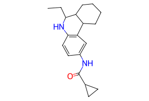 CCC1Nc2ccc(NC(=O)C3CC3)cc2C2CCCCC12